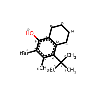 C[C]C(C)(C)c1c(C)c(C(C)(C)C)c(O)c2c1CCCC2